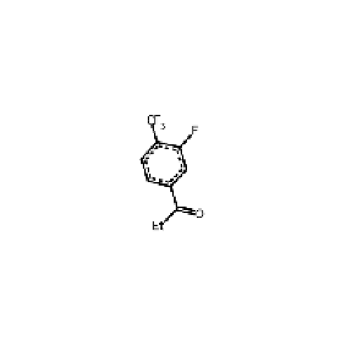 CCC(=O)c1ccc(C(F)(F)F)c(F)c1